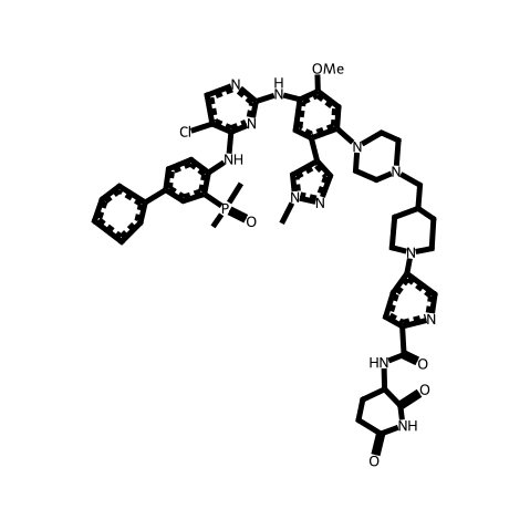 COc1cc(N2CCN(CC3CCN(c4ccc(C(=O)NC5CCC(=O)NC5=O)nc4)CC3)CC2)c(-c2cnn(C)c2)cc1Nc1ncc(Cl)c(Nc2ccc(-c3ccccc3)cc2P(C)(C)=O)n1